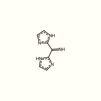 N=C(c1ncc[nH]1)c1ncc[nH]1